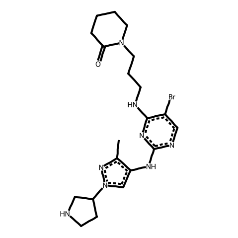 Cc1nn(C2CCNC2)cc1Nc1ncc(Br)c(NCCCN2CCCCC2=O)n1